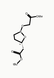 COC(=O)COB1CC[C@@H](CC(=O)OC(C)(C)C)O1